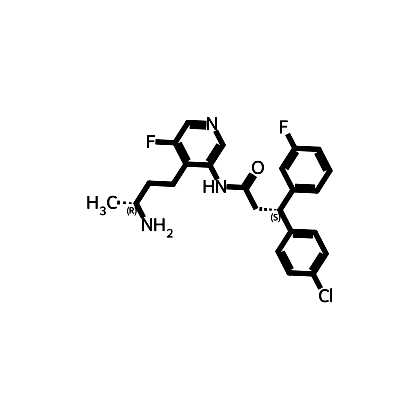 C[C@@H](N)CCc1c(F)cncc1NC(=O)C[C@@H](c1ccc(Cl)cc1)c1cccc(F)c1